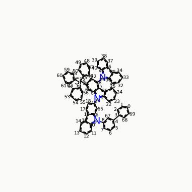 c1ccc(-c2cccc(-n3c4ccccc4c4ccc(-n5c6ccccc6c6c(-n7c8ccccc8c8ccccc87)cc([Si](c7ccccc7)(c7ccccc7)c7ccccc7)cc65)cc43)c2)cc1